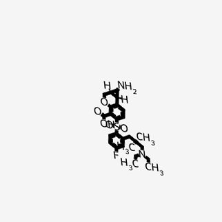 CCN(CC)CC(C)(C)Cc1cc(F)ccc1S(=O)(=O)c1ccc2c(c1C(=O)O)OC[C@H]1C(N)[C@H]21